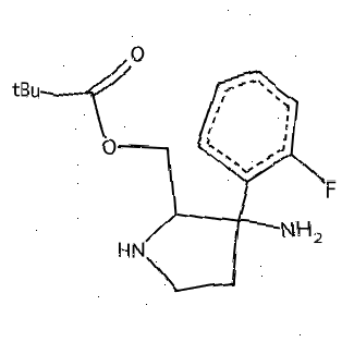 CC(C)(C)C(=O)OCC1NCCC1(N)c1ccccc1F